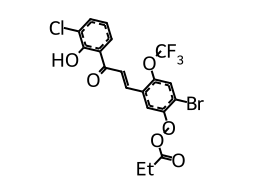 CCC(=O)OOc1cc(/C=C/C(=O)c2cccc(Cl)c2O)c(OC(F)(F)F)cc1Br